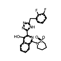 O=S1(=O)CCCCN1c1nc(-c2nnc(Cc3cccc(F)c3F)[nH]2)c(O)c2ccccc12